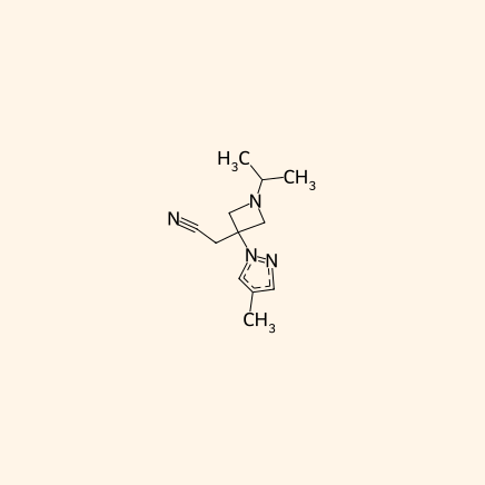 Cc1cnn(C2(CC#N)CN(C(C)C)C2)c1